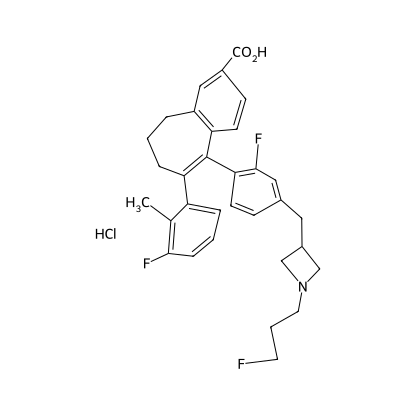 Cc1c(F)cccc1C1=C(c2ccc(CC3CN(CCCF)C3)cc2F)c2ccc(C(=O)O)cc2CCC1.Cl